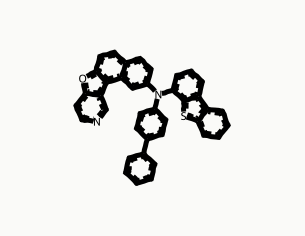 c1ccc(-c2ccc(N(c3ccc4ccc5oc6ccncc6c5c4c3)c3cccc4c3sc3ccccc34)cc2)cc1